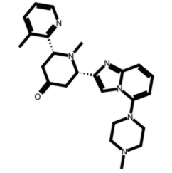 Cc1cccnc1[C@H]1CC(=O)C[C@@H](c2cn3c(N4CCN(C)CC4)cccc3n2)N1C